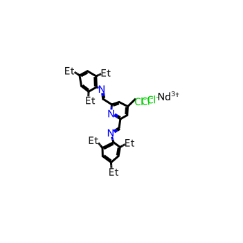 CCc1cc(CC)c(N=Cc2cc(C)cc(C=Nc3c(CC)cc(CC)cc3CC)n2)c(CC)c1.[Cl-].[Cl-].[Cl-].[Nd+3]